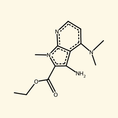 CCOC(=O)c1c(N)c2c(N(C)C)ccnc2n1C